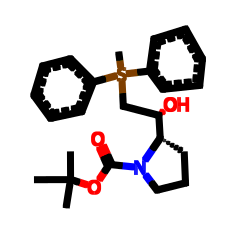 CC(C)(C)OC(=O)N1CCC[C@H]1[C@@H](O)CS(C)(c1ccccc1)c1ccccc1